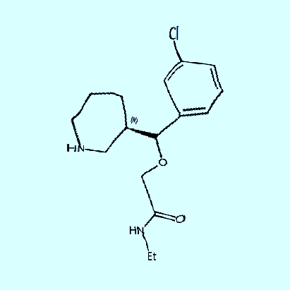 CCNC(=O)COC(c1cccc(Cl)c1)[C@@H]1CCCNC1